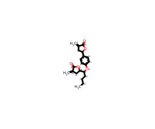 C=C1CC(c2ccc(OC(CCCC)C3CC(=C)C(=O)O3)cc2)OC1=O